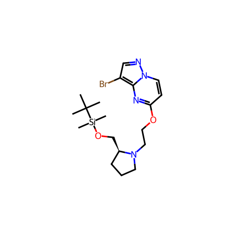 CC(C)(C)[Si](C)(C)OC[C@@H]1CCCN1CCOc1ccn2ncc(Br)c2n1